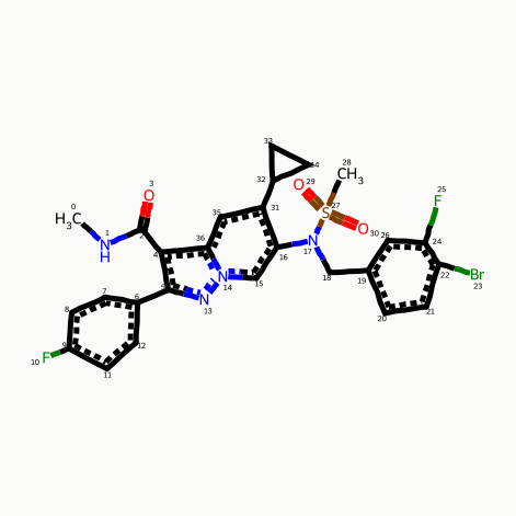 CNC(=O)c1c(-c2ccc(F)cc2)nn2cc(N(Cc3ccc(Br)c(F)c3)S(C)(=O)=O)c(C3CC3)cc12